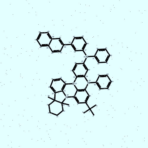 CC(C)(C)c1cc2c3c(c1)N1c4c(cccc4C4(C)CCCCC14C)B3c1ccc(N(c3ccccc3)c3cccc(-c4ccc5ccccc5c4)c3)cc1N2c1ccccc1